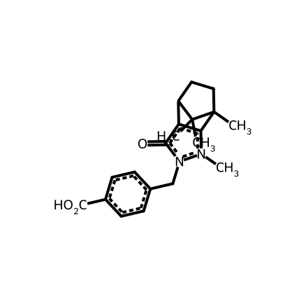 Cn1c2c(c(=O)n1Cc1ccc(C(=O)O)cc1)C1CCC2(C)C1(C)C